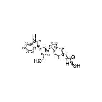 O=C(C=Cc1ccc2c(c1)CC[C@@H]2N(CCCO)CCc1c[nH]c2ccccc12)NO